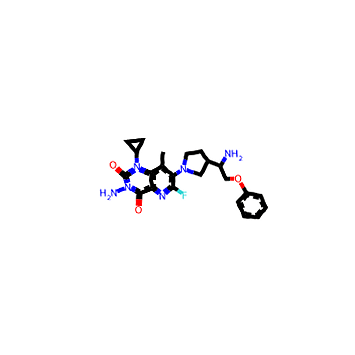 Cc1c(N2CCC(C(N)COc3ccccc3)C2)c(F)nc2c(=O)n(N)c(=O)n(C3CC3)c12